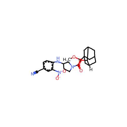 COC(=O)C12CC3CC(C1)C(OC(=O)N1CCC(Nc4ccc(C#N)cc4[N+](=O)[O-])C1)[C@H](C3)C2